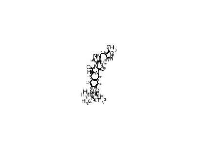 Cc1noc(C)c1Cn1cc(N2C(=O)[C@H]3Cc4ccc(O[Si](C)(C)C(C)(C)C)cc4CN3C2=O)cn1